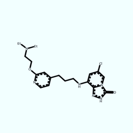 CCN(CC)CCOc1cc(CCCNc2cc(Cl)cn3c(=O)[nH]nc23)ccn1